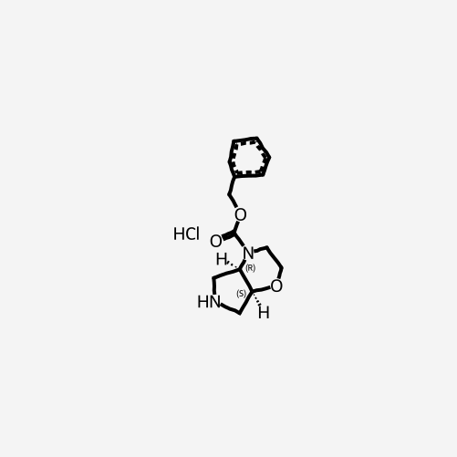 Cl.O=C(OCc1ccccc1)N1CCO[C@H]2CNC[C@H]21